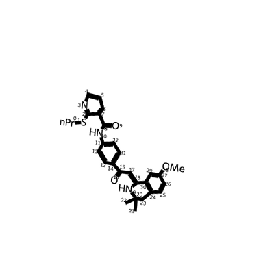 CCCSc1ncccc1C(=O)Nc1ccc(C(=O)/C=C2\NC(C)(C)Cc3ccc(OC)cc32)cc1